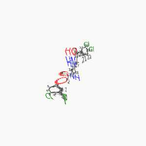 O=C(COc1ccc(Cl)c(F)c1)NC12CC(NC[C@@H](O)c3ccc(Cl)c(Cl)c3)(C1)C2